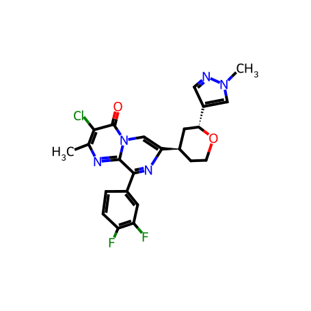 Cc1nc2c(-c3ccc(F)c(F)c3)nc([C@@H]3CCO[C@@H](c4cnn(C)c4)C3)cn2c(=O)c1Cl